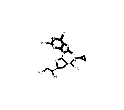 CCC(O)[C@@H]1C[C@@H](C(C)NC2CC2)[C@H](n2c(=O)sc3c(=O)[nH]c(N)nc32)O1